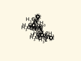 CC[N+](CC)(Cc1ccccc1)Cc1cc(C=NCC(Br)(Br)N=Cc2cc(C[N+](CC)(CC)Cc3ccccc3)cc(C(C)(C)C)c2O)c(O)c(C(C)(C)C)c1